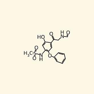 CS(=O)(=O)Nc1cc(O)c(C(=O)CNC=O)cc1Oc1ccccc1